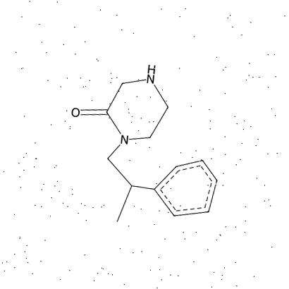 CC(CN1CCNCC1=O)c1ccccc1